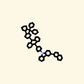 c1ccc(C2(c3ccccc3)c3ccccc3-c3ccc(-c4c5ccccc5c(-c5ccc(-n6c7ccccc7c7cc(-c8ccc9ccccc9c8)ccc76)cc5)c5ccccc45)cc32)cc1